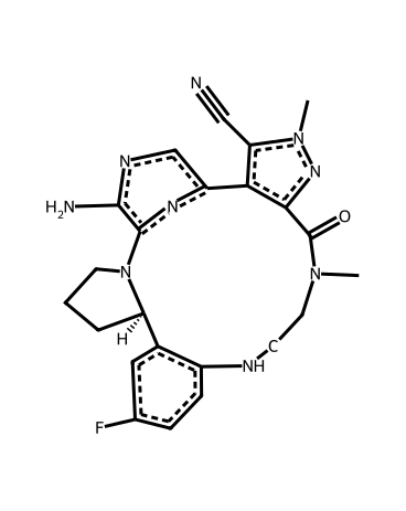 CN1CCNc2ccc(F)cc2[C@H]2CCCN2c2nc(cnc2N)-c2c(nn(C)c2C#N)C1=O